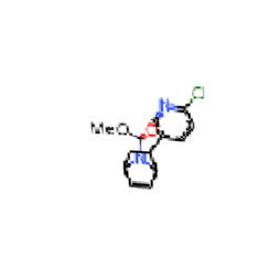 COC(=O)N1C2C=CC1C(c1ccc(Cl)nc1)C2